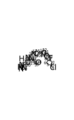 Fc1cc(Cl)ccc1COc1cccc(C2CCN(Cc3nc4cc(-c5nnn[nH]5)ccc4n3CC3CCO3)CC2)n1